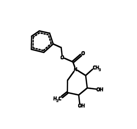 C=C1CN(C(=O)OCc2ccccc2)C(C)C(O)C1O